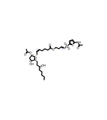 CCCCC[C@H](O)CC[C@@H]1[C@@H](C/C=C\CCCC(=O)OCC/C=N/S(=O)(=O)c2ccc(NC(C)=O)s2)[C@@H](OC(C)=O)C[C@H]1O